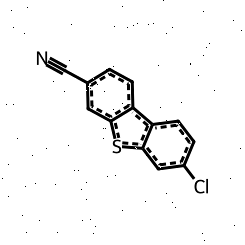 N#Cc1ccc2c(c1)sc1cc(Cl)ccc12